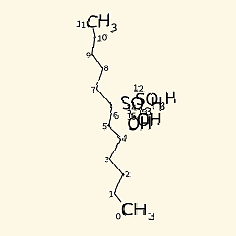 CCCCCCCCCCCC.O=S(=O)(O)O.O=S(=O)(O)O